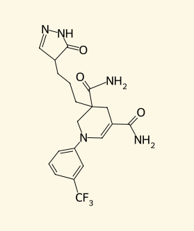 NC(=O)C1=CN(c2cccc(C(F)(F)F)c2)CC(CCCC2C=NNC2=O)(C(N)=O)C1